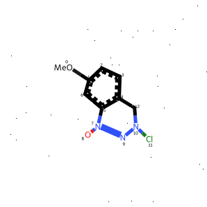 COc1ccc2c(c1)[N+]([O-])=NN(Cl)C2